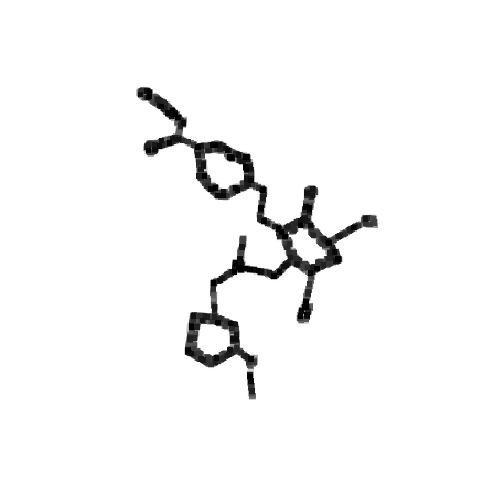 COc1cccc(CN(C)Cc2c(Cl)cc(Cl)c(=O)n2CCc2ccc(C(=O)N=O)cc2)c1